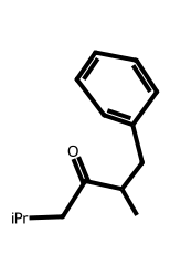 CC(C)CC(=O)C(C)Cc1ccccc1